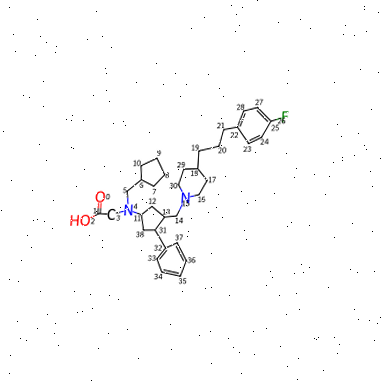 O=C(O)CN(CC1CCCC1)C1CC(CN2CCC(CCCc3ccc(F)cc3)CC2)C(c2ccccc2)C1